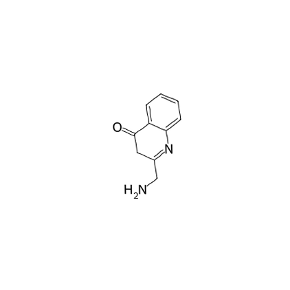 NCC1=Nc2ccccc2C(=O)C1